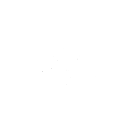 CCCC[Si](CC(C)C)(CC(C)C)CC(C)C